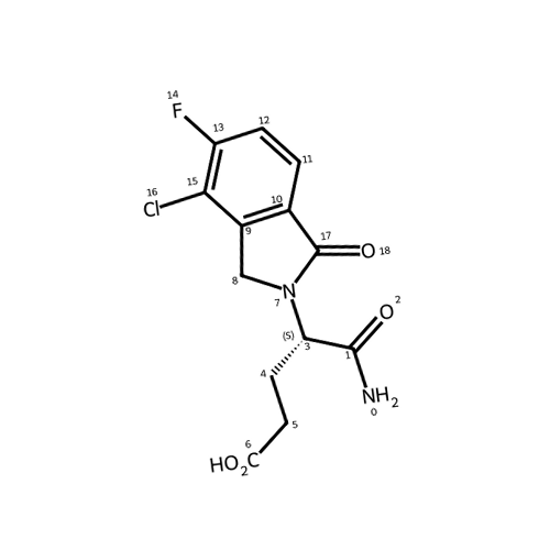 NC(=O)[C@H](CCC(=O)O)N1Cc2c(ccc(F)c2Cl)C1=O